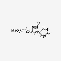 CCOC(=O)COc1cc(-c2cncnc2)n(C)n1